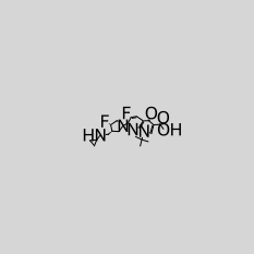 CC(C)(C)n1cc(C(=O)O)c(=O)c2cc(F)c(N3C[C@@H](CNC4CC4)[C@H](F)C3)nc21